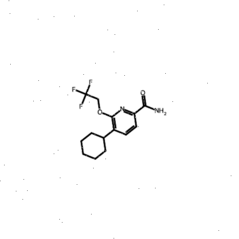 NC(=O)c1[c]cc(C2CCCCC2)c(OCC(F)(F)F)n1